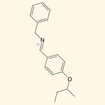 CCC(C)Oc1ccc(/C=N/Cc2ccccc2)cc1